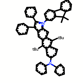 CC(C)(C)c1c2cc(N(c3ccccc3)c3ccccc3)ccc2c(C(C)(C)C)c2cc3c(cc12)c(-c1ccccc1)c(-c1ccccc1)n3-c1ccc2c(c1)C(C)(C)c1ccccc1-2